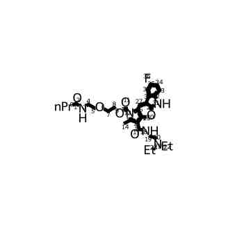 CCCC(=O)NCCOCCOC(=O)n1c(C)c(C(=O)NCCN(CC)CC)c(C)c1/C=C1\C(=O)Nc2ccc(F)cc21